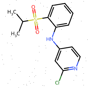 CC(C)S(=O)(=O)c1ccccc1Nc1ccnc(Cl)c1